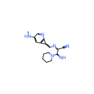 CNc1cnc2c(c1)/C2=C/N=C(/C#N)C(=N)N1CCCCC1